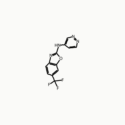 FC(F)(F)c1ccc2nc(Nc3ccnnc3)oc2c1